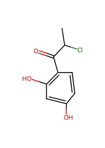 CC(Cl)C(=O)c1ccc(O)cc1O